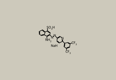 Nc1c(N=Nc2ccc(-c3cc(C(F)(F)F)cc(C(F)(F)F)c3)nc2)cc(S(=O)(=O)O)c2ccccc12.[NaH]